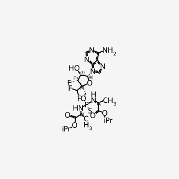 CC(C)OC(=O)[C@H](C)NP(=S)(N[C@@H](C)C(=O)OC(C)C)OC[C@@]1(C(F)F)O[C@@H](n2cnc3c(N)ncnc32)[C@H](O)[C@H]1F